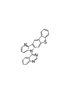 c1ccc2c(-n3c4cc5sc6ccccc6c5cc4c4ncccc43)ncnc2c1